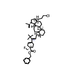 C=C(C)[C@@H]1CC[C@]2(NCCCl)CC[C@]3(C)[C@H](CC[C@@H]4[C@@](C)(C/C=C(/C5=CC[C@](CF)(C(=O)OCc6ccccc6)CC5)C(C)(C)C)CCC[C@]43C)[C@@H]12